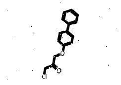 O=C(CCl)COc1ccc(-c2ccccc2)cc1